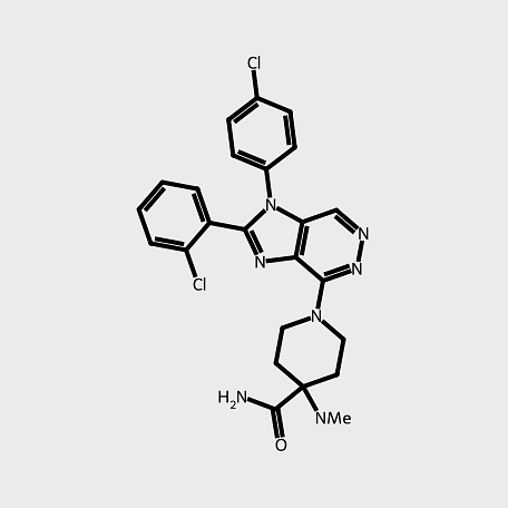 CNC1(C(N)=O)CCN(c2nncc3c2nc(-c2ccccc2Cl)n3-c2ccc(Cl)cc2)CC1